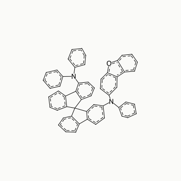 c1ccc(N(c2ccc3c(c2)C2(c4ccccc4-3)c3ccccc3-c3c(N(c4ccccc4)c4ccccc4)cccc32)c2ccc3oc4ccccc4c3c2)cc1